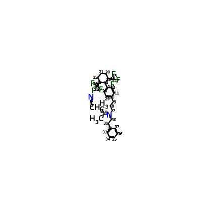 CC#N.CC(C)N(CCCc1ccc(C2C(C(F)(F)F)CCCC2C(F)(F)F)cc1)CCc1ccccc1